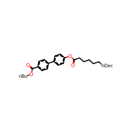 CCCCCCCCCCCCCCCC(=O)Oc1ccc(-c2ccc(C(=O)OCCCC)cc2)cc1